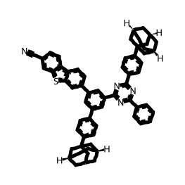 N#Cc1ccc2c(c1)sc1cc(-c3cc(-c4ccc(C56CC7C[C@H](C5)C[C@@H](C7)C6)cc4)cc(-c4nc(-c5ccccc5)nc(-c5ccc(C67C[C@H]8C[C@H](C6)C[C@@H](C7)C8)cc5)n4)c3)ccc12